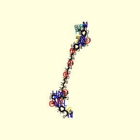 Cc1ncsc1-c1ccc(CNC(=O)[C@@H]2CCCN2C(=O)[C@@H](NC(=O)CCCCCCOCCCCOCCCCOc2ccc(N3C(=S)N(c4ccc(C#N)c(C(F)(F)F)c4)C(=O)C3(C)C)cc2)C(C)(C)C)cc1